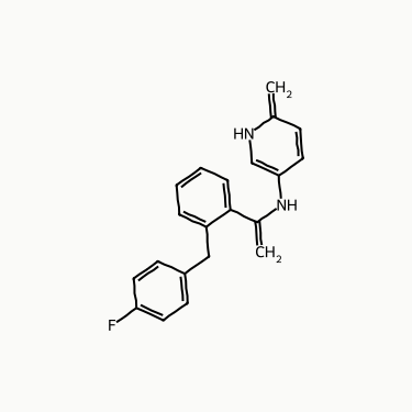 C=C1C=CC(NC(=C)c2ccccc2Cc2ccc(F)cc2)=CN1